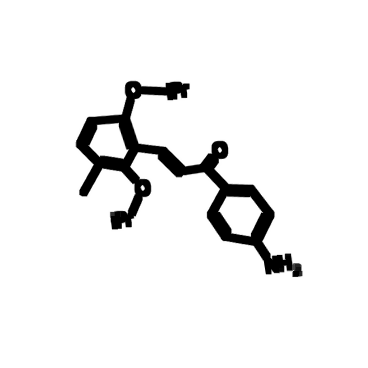 Cc1ccc(OC(C)C)c(C=CC(=O)c2ccc(N)cc2)c1OC(C)C